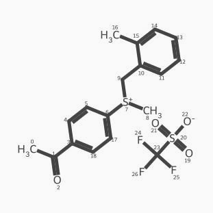 CC(=O)c1ccc([S+](C)Cc2ccccc2C)cc1.O=S(=O)([O-])C(F)(F)F